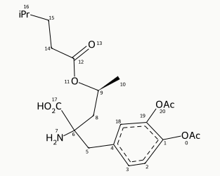 CC(=O)Oc1ccc(CC(N)(C[C@H](C)OC(=O)CCC(C)C)C(=O)O)cc1OC(C)=O